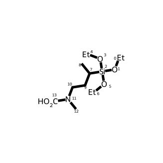 CCO[Si](OCC)(OCC)C(C)CCN(C)C(=O)O